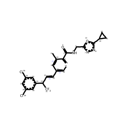 C=C(C(=O)NCc1nnc(C2CC2)o1)\C(C)=C/C(=C\C)/C=C/C(c1cc(Cl)cc(Cl)c1)C(F)(F)F